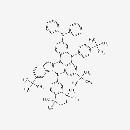 CC(C)(C)c1ccc(N2c3cc(N(c4ccccc4)c4ccccc4)ccc3B3c4sc5ccc(C(C)(C)C)cc5c4N(c4ccc5c(c4)C(C)(C)CCC5(C)C)c4cc(C(C)(C)C)cc2c43)cc1